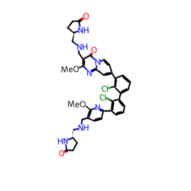 COc1nc(-c2cccc(-c3cccc(-c4ccn5c(=O)c(CNC[C@H]6CCC(=O)N6)c(OC)nc5c4)c3Cl)c2Cl)ccc1CNC[C@@H]1CCC(=O)N1